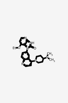 CCOc1ccnc2[nH]c(=O)n(-c3ccc4nccc(N5CCC(N(C)C)CC5)c4c3)c12